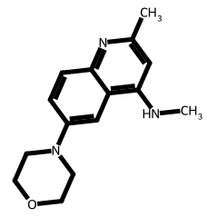 CNc1cc(C)nc2ccc(N3CCOCC3)cc12